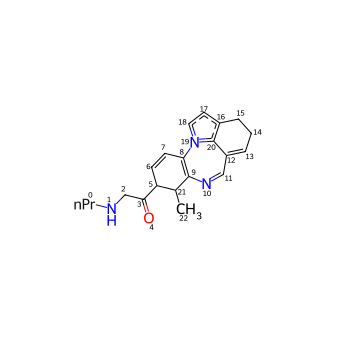 CCCNCC(=O)C1C=CC2=C(N=CC3=CCCc4ccn2c43)C1C